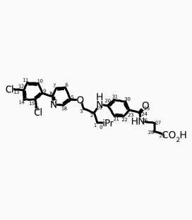 CC(C)CC(COc1ccc(-c2ccc(Cl)cc2Cl)nc1)Nc1ccc(C(=O)NCCC(=O)O)cc1